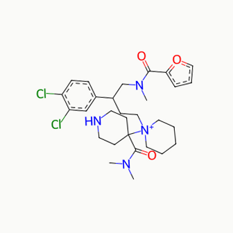 CN(C)C(=O)C1([N+]2(CCC(CN(C)C(=O)c3ccco3)c3ccc(Cl)c(Cl)c3)CCCCC2)CCNCC1